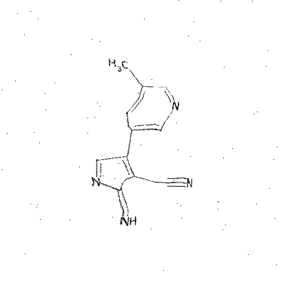 Cc1cncc(C2=C(C#N)C(=N)N=C2)c1